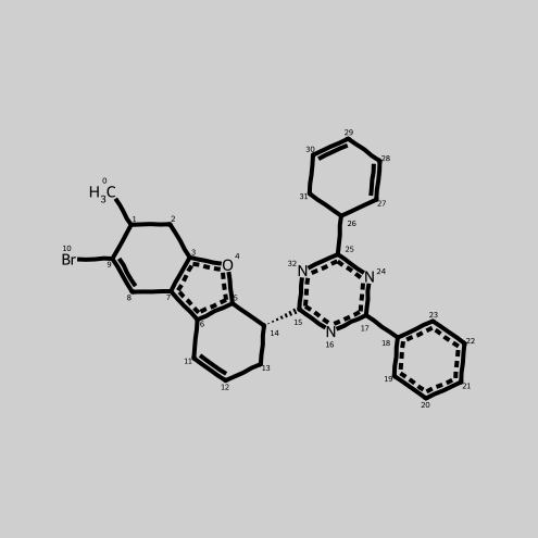 CC1Cc2oc3c(c2C=C1Br)C=CC[C@H]3c1nc(-c2ccccc2)nc(C2C=CC=CC2)n1